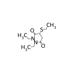 CCSC1CC(=O)N(CC)N(CC)C1=O